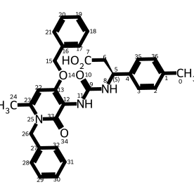 Cc1ccc([C@H](CC(=O)O)NC(=O)Nc2c(OCc3ccccc3)cc(C)n(Cc3ccccc3)c2=O)cc1